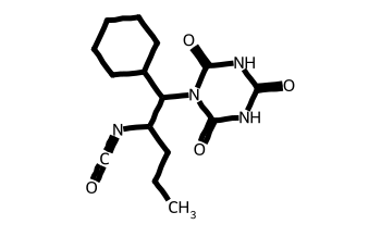 CCCC(N=C=O)C(C1CCCCC1)n1c(=O)[nH]c(=O)[nH]c1=O